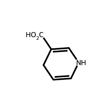 O=C(O)C1=CNC=CC1